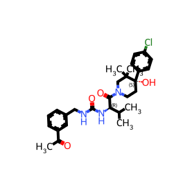 CC(=O)c1cccc(CNC(=O)N[C@@H](C(=O)N2CC[C@](O)(c3ccc(Cl)cc3)C(C)(C)C2)C(C)C)c1